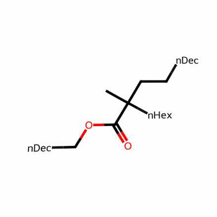 CCCCCCCCCCCCC(C)(CCCCCC)C(=O)OCCCCCCCCCCC